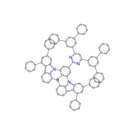 c1ccc(-c2cc(-c3ccccc3)cc(-c3cc(-c4cc(-c5ccccc5)cc(-c5ccccc5)c4)nc(-c4cc5c6c(c4)-n4c7cc(-c8ccccc8)cc(-c8ccccc8)c7c7cccc(c74)B6c4cccc6c7c(-c8ccccc8)cc(-c8ccccc8)cc7n-5c46)n3)c2)cc1